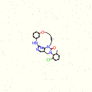 Cc1cccc(Cl)c1N1Cc2cnc3nc2N(C/C=C\CCOc2cccc(c2)N3)C1=O